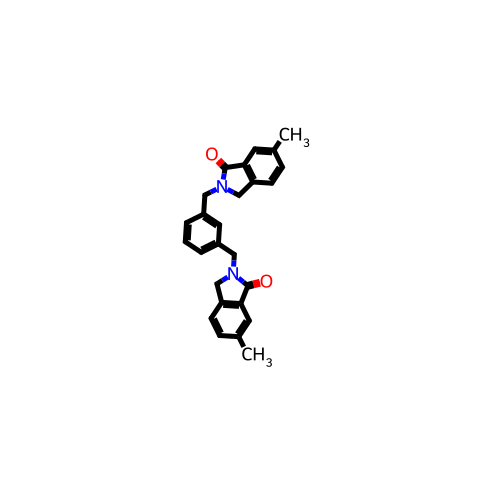 Cc1ccc2c(c1)C(=O)N(Cc1cccc(CN3Cc4ccc(C)cc4C3=O)c1)C2